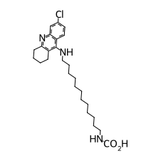 O=C(O)NCCCCCCCCCCCCNc1c2c(nc3cc(Cl)ccc13)CCCC2